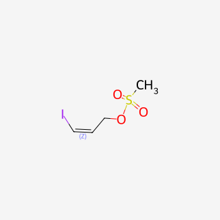 CS(=O)(=O)OC/C=C\I